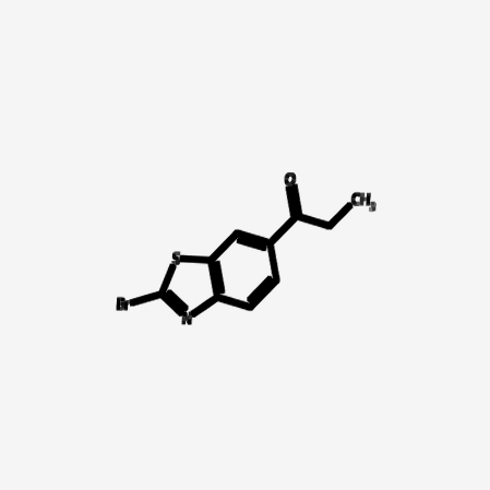 CCC(=O)c1ccc2nc(Br)sc2c1